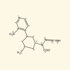 CC1CC(c2ccncc2N)CC(N(N=[N+]=N)C(=O)[O-])C1